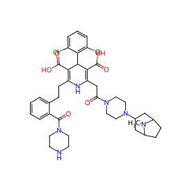 CN1C2CCC1CC(N1CCN(C(=O)CC3=C(C(=O)O)C(c4c(Cl)cccc4Cl)C(C(=O)O)=C(CCc4ccccc4C(=O)N4CCNCC4)N3)CC1)C2